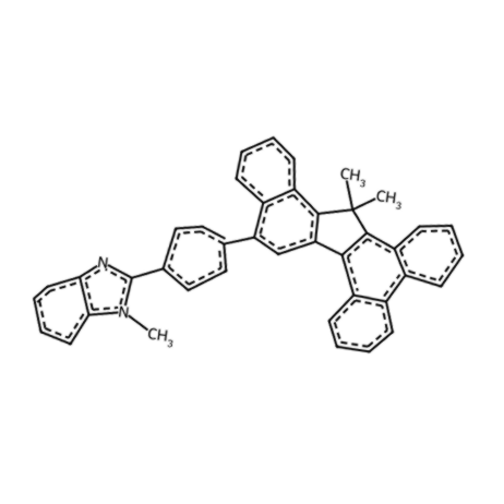 Cn1c(-c2ccc(-c3cc4c(c5ccccc35)C(C)(C)c3c-4c4ccccc4c4ccccc34)cc2)nc2ccccc21